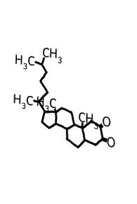 CC(C)CCCC(C)C1CCC2C3CCC4CC(=O)C(=O)CC4(C)C3CCC12C